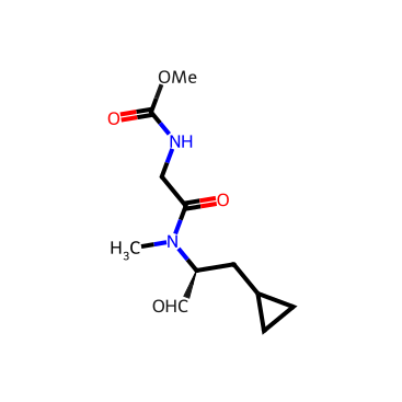 COC(=O)NCC(=O)N(C)[C@H](C=O)CC1CC1